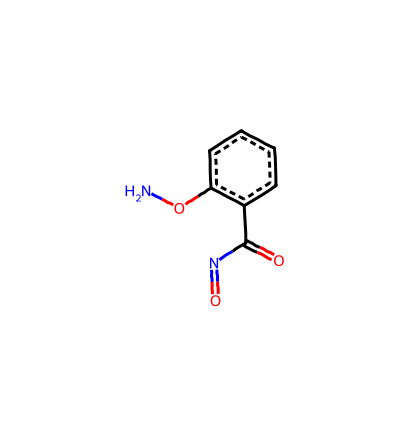 NOc1ccccc1C(=O)N=O